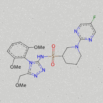 COCc1nnc(NS(=O)(=O)C2CCCN(c3ncc(F)cn3)C2)n1-c1c(OC)cccc1OC